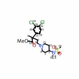 CCN(C1CCN(CCC(C)(C(=O)OC)c2ccc(Cl)c(Cl)c2)CC1)S(C)(=O)=O